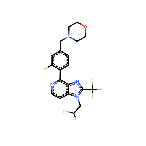 Fc1cc(CN2CCOCC2)ccc1-c1nccc2c1nc(C(F)(F)F)n2CC(F)F